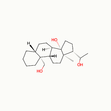 CC(O)[C@H]1CC[C@]2(O)[C@@H]3CC[C@H]4CCCC[C@]4(CO)[C@H]3CC[C@]12C